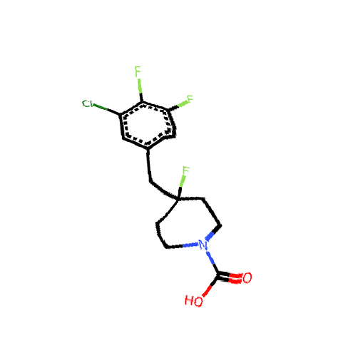 O=C(O)N1CCC(F)(Cc2cc(F)c(F)c(Cl)c2)CC1